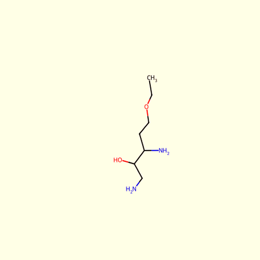 CCOCCC(N)C(O)CN